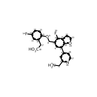 NCc1cc(-c2cc(COc3ccc(F)cc3CC(=O)O)c(F)c3ccoc23)ccn1